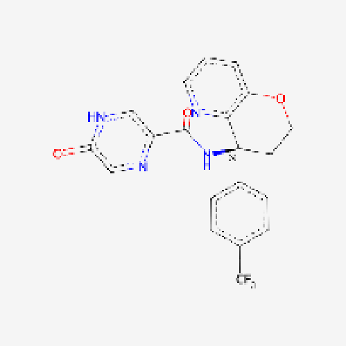 O=C(N[C@]1(c2ccc(C(F)(F)F)cc2)CCOc2cccnc21)c1c[nH]c(=O)cn1